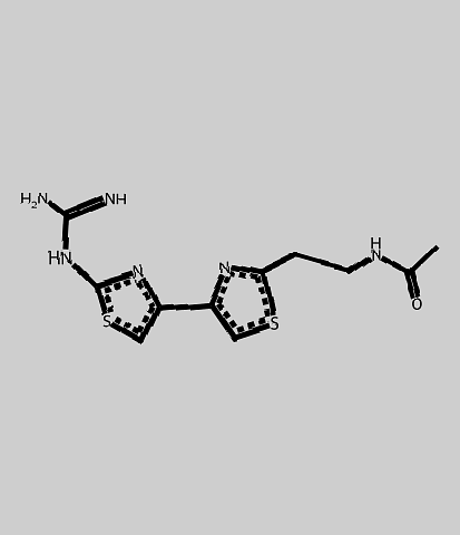 CC(=O)NCCc1nc(-c2csc(NC(=N)N)n2)cs1